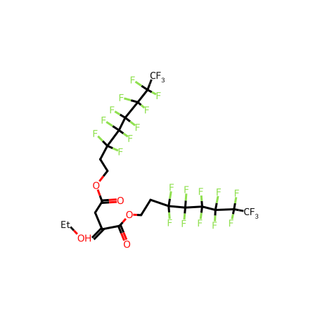 C=C(CC(=O)OCCC(F)(F)C(F)(F)C(F)(F)C(F)(F)C(F)(F)C(F)(F)F)C(=O)OCCC(F)(F)C(F)(F)C(F)(F)C(F)(F)C(F)(F)C(F)(F)F.CCO